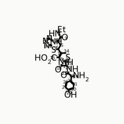 CCNC(=O)CCC(Sc1nnn[nH]1)C1=C(C(=O)O)N2C(=O)C(NC(=O)C(N)c3ccc(O)cc3)[C@@H]2SC1